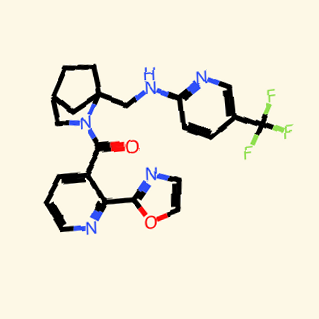 O=C(c1cccnc1-c1ncco1)N1CC2CCC1(CNc1ccc(C(F)(F)F)cn1)C2